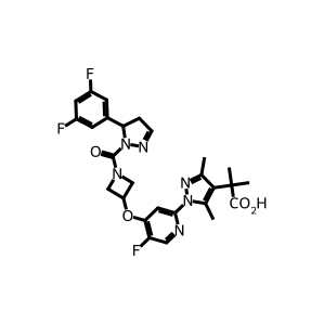 Cc1nn(-c2cc(OC3CN(C(=O)N4N=CCC4c4cc(F)cc(F)c4)C3)c(F)cn2)c(C)c1C(C)(C)C(=O)O